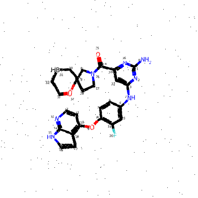 Nc1nc(Nc2ccc(Oc3ccnc4[nH]ccc34)c(F)c2)cc(C(=O)N2CCC3(CBCCO3)C2)n1